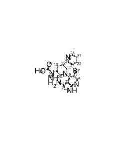 Nc1c[nH]c2ncc(Br)c(N3CCC[C@@H](N(N)C(=O)O)C3)c12.c1ccncc1